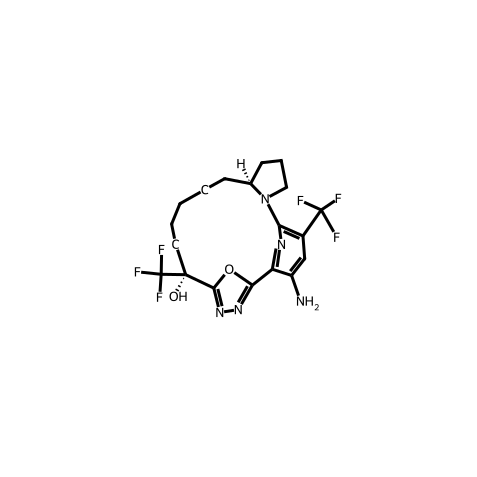 Nc1cc(C(F)(F)F)c2nc1-c1nnc(o1)[C@@](O)(C(F)(F)F)CCCCC[C@H]1CCCN21